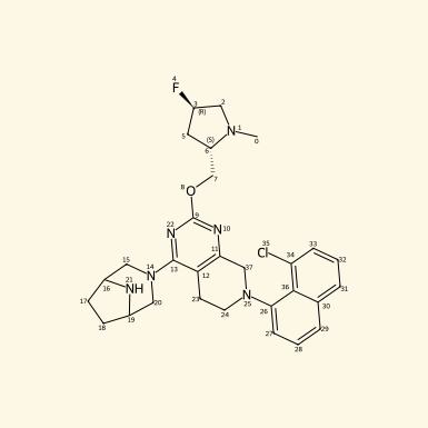 CN1C[C@H](F)C[C@H]1COc1nc2c(c(N3CC4CCC(C3)N4)n1)CCN(c1cccc3cccc(Cl)c13)C2